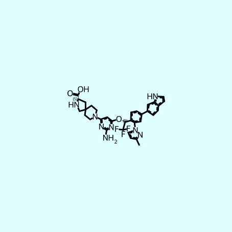 Cc1ccn(-c2cc(-c3ccc4cc[nH]c4c3)ccc2[C@@H](Oc2cc(N3CCC4(CC3)CN[C@H](C(=O)O)C4)nc(N)n2)C(F)(F)F)n1